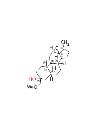 COC[C@@]1(O)CC[C@H]2[C@H](CC[C@@H]3[C@@H]2CC[C@]2(C)[C@@H](C)CC[C@@H]32)C1